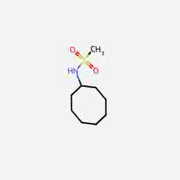 CS(=O)(=O)NC1CCCCCCC1